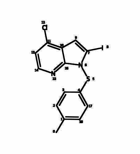 Cc1ccc(Sn2c(I)cc3c(Cl)ccnc32)cc1